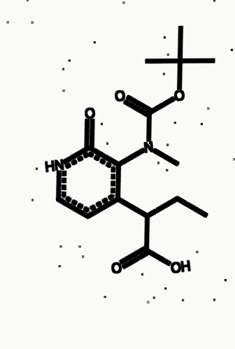 CCC(C(=O)O)c1cc[nH]c(=O)c1N(C)C(=O)OC(C)(C)C